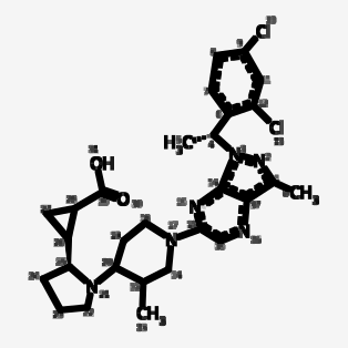 Cc1nn([C@H](C)c2ccc(Cl)cc2Cl)c2nc(N3CCC(N4CCC[C@H]4C4CC4C(=O)O)C(C)C3)cnc12